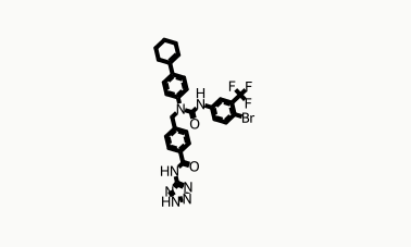 O=C(Nc1nn[nH]n1)c1ccc(CN(C(=O)Nc2ccc(Br)c(C(F)(F)F)c2)c2ccc(C3=CCCCC3)cc2)cc1